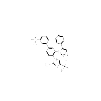 CS(=O)(=O)c1cccc(-c2ccc(-n3cc(C(F)(F)F)nc3Cl)c(-n3nncc3-c3ccc(Cl)cc3)c2)c1